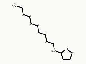 FC(F)(F)CCCCCCCCCOC1CCCO1